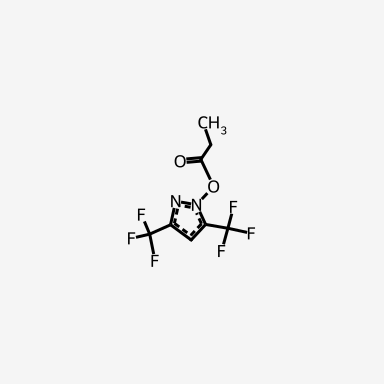 CCC(=O)On1nc(C(F)(F)F)cc1C(F)(F)F